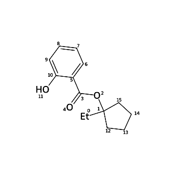 CCC1(OC(=O)c2ccccc2O)CCCC1